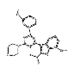 COc1cncc(-c2nc(N3CCOCC3)nc(-n3c(C(F)F)nc4c(OC)cccc43)n2)c1